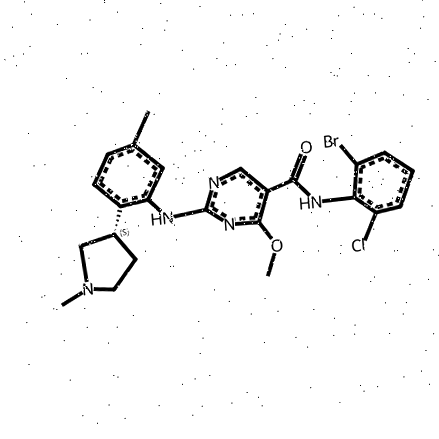 COc1nc(Nc2cc(C)ccc2[C@@H]2CCN(C)C2)ncc1C(=O)Nc1c(Cl)cccc1Br